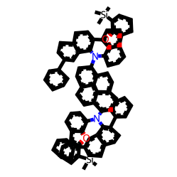 C[Si](C)(C)c1cccc2c1oc1c(N(c3c(-c4ccccc4)ccc4ccc(-c5ccccc5)cc34)c3ccc4ccc5c(N(c6c(-c7ccccc7)ccc7ccc(-c8ccccc8)cc67)c6cccc7c6oc6c([Si](C)(C)C)cccc67)ccc6ccc3c4c65)cccc12